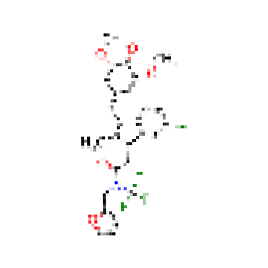 COC1=CC(=CC2=C(C)C(=CC(=O)N(Cc3ccco3)C(F)(F)F)c3cc(F)ccc32)C=C(OC)C1=O